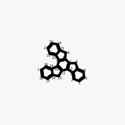 c1ccc2c(c1)Cc1c3c(c4c(c1-2)Cc1ccccc1-4)-c1ccccc1C3